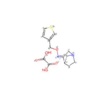 O=C(O)C(=O)O.c1cc(CO/N=C2\CN3CCC2C3)cs1